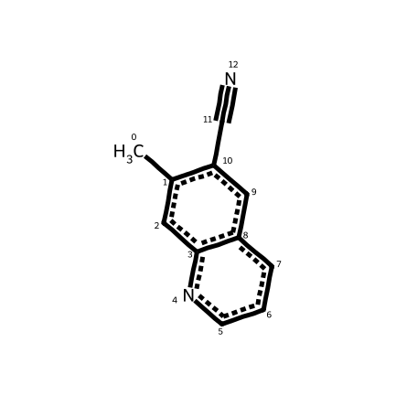 Cc1cc2ncccc2cc1C#N